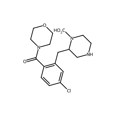 O=C(c1ccc(Cl)cc1CC1CNCCN1C(=O)O)N1CCOCC1